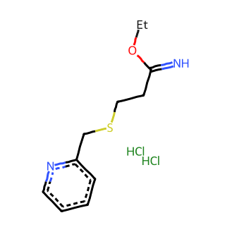 CCOC(=N)CCSCc1ccccn1.Cl.Cl